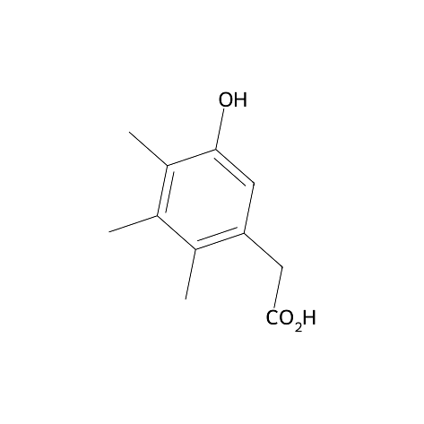 Cc1c(O)cc(CC(=O)O)c(C)c1C